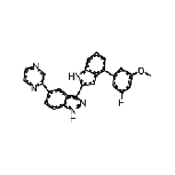 COc1cc(F)cc(-c2cccc3[nH]c(-c4n[nH]c5ccc(-c6cnccn6)cc45)cc23)c1